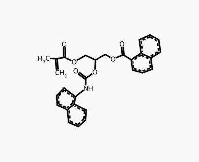 C=C(C)C(=O)OCC(COC(=O)c1cccc2ccccc12)OC(=O)Nc1cccc2ccccc12